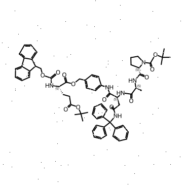 C[C@H](NC(=O)[C@@H]1CCCN1C(=O)OC(C)(C)C)C(=O)N[C@@H](CC(=O)NC(c1ccccc1)(c1ccccc1)c1ccccc1)C(=O)Nc1ccc(COC(=O)[C@H](CCC(=O)OC(C)(C)C)NC(=O)OCC2c3ccccc3-c3ccccc32)cc1